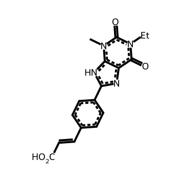 CCn1c(=O)c2nc(-c3ccc(/C=C/C(=O)O)cc3)[nH]c2n(C)c1=O